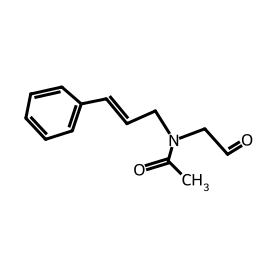 CC(=O)N(CC=O)CC=Cc1ccccc1